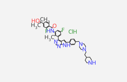 Cc1c(NC(=O)c2ccc(C(C)(C)O)cc2F)cc(F)cc1-c1ncnc2[nH]c(-c3ccc(CN4CCN(CCC5CCNCC5)CC4)cc3)cc12.Cl